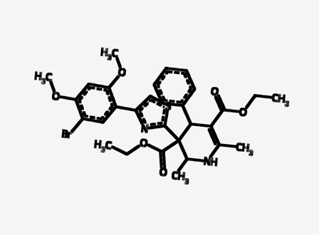 CCOC(=O)C1=C(C)NC(C)C(C(=O)OCC)(c2nc(-c3cc(Br)c(OC)cc3OC)cs2)C1c1ccccc1